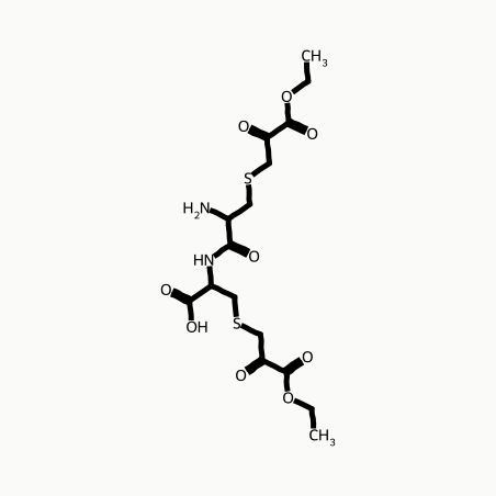 CCOC(=O)C(=O)CSCC(N)C(=O)NC(CSCC(=O)C(=O)OCC)C(=O)O